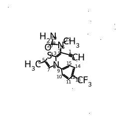 C#C/C(=C1/SC(C)=CN1c1ccc(C(F)(F)F)cc1)N(C)C(N)=O